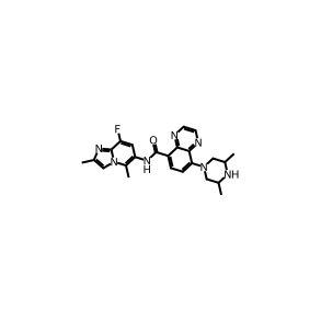 Cc1cn2c(C)c(NC(=O)c3ccc(N4CC(C)NC(C)C4)c4nccnc34)cc(F)c2n1